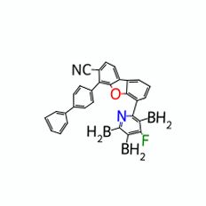 Bc1nc(-c2cccc3c2oc2c(-c4ccc(-c5ccccc5)cc4)c(C#N)ccc23)c(B)c(F)c1B